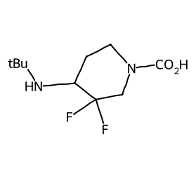 CC(C)(C)NC1CCN(C(=O)O)CC1(F)F